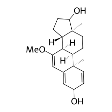 COC1=CC2=CC(O)C=C[C@]2(C)[C@@H]2CC[C@]3(C)C(O)CC[C@H]3[C@H]12